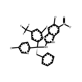 O=[N+]([O-])c1cc2[nH]c(N[C@](Cc3ccccc3)(c3cc(F)cc(C(F)(F)F)c3)c3ccc(Cl)cn3)nc2cc1Cl